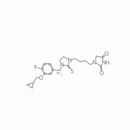 C[C@H](c1ccc(F)c(OCC2CC2)c1)N1CCN(CCCCN2CC(=O)NC2=O)C1=S